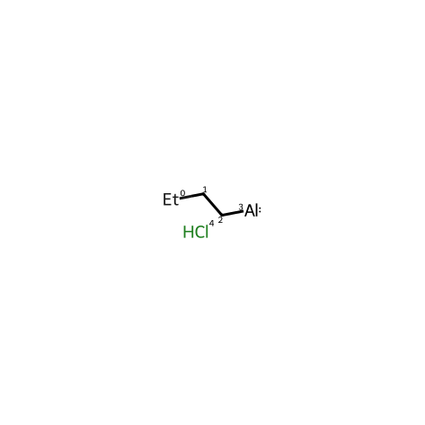 CCC[CH2][Al].Cl